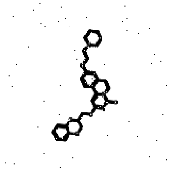 O=c1nc(OCC2COc3ccccc3O2)cc2n1CCc1cc(OCCN3CCCCC3)ccc1-2